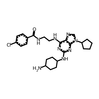 NC1CCC(Nc2nc(NCCNC(=O)c3ccc(Cl)cc3)c3ncn(C4CCCC4)c3n2)CC1